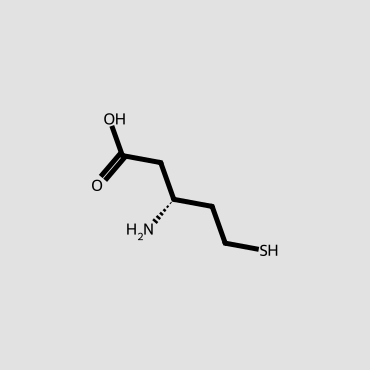 N[C@@H](CCS)CC(=O)O